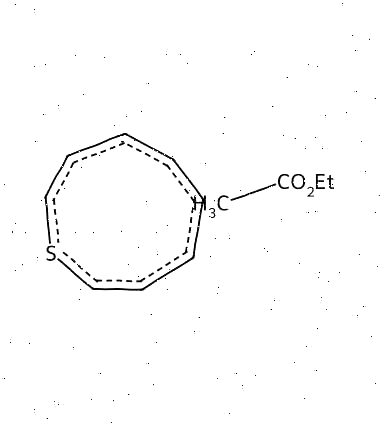 CCOC(C)=O.c1ccccsccc1